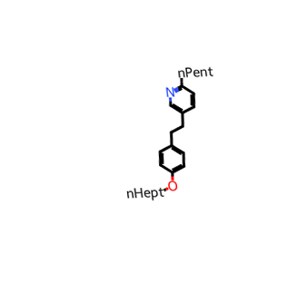 CCCCCCCOc1ccc(CCc2ccc(CCCCC)nc2)cc1